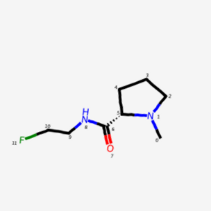 CN1CCC[C@H]1C(=O)NCCF